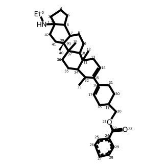 CCNC12CCCC1C1CCC3C4(C)CC=C(C5=CCC(COC(=O)c6ccccc6)CC5)C(C)C4CCC3(C)[C@]1(C)CC2